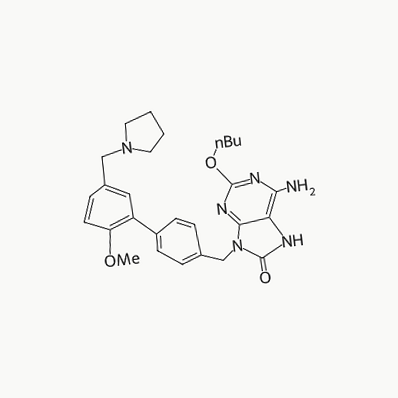 CCCCOc1nc(N)c2[nH]c(=O)n(Cc3ccc(-c4cc(CN5CCCC5)ccc4OC)cc3)c2n1